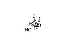 CCCCCCCCO.O.OC(F)(C(F)F)C(F)(F)F